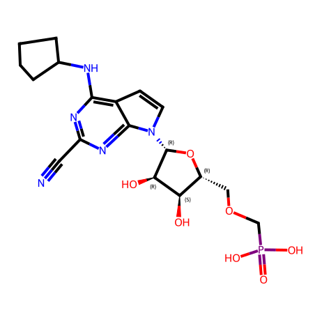 N#Cc1nc(NC2CCCC2)c2ccn([C@@H]3O[C@H](COCP(=O)(O)O)[C@@H](O)[C@H]3O)c2n1